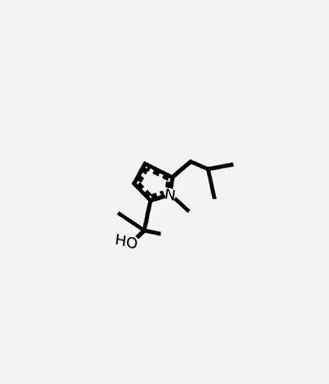 CC(C)Cc1ccc(C(C)(C)O)n1C